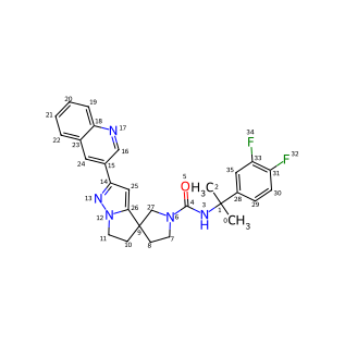 CC(C)(NC(=O)N1CCC2(CCn3nc(-c4cnc5ccccc5c4)cc32)C1)c1ccc(F)c(F)c1